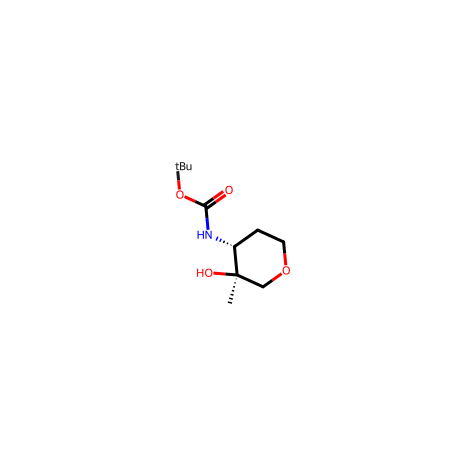 CC(C)(C)OC(=O)N[C@@H]1CCOC[C@@]1(C)O